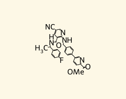 COC(=O)c1ccc(-c2ccc(CNc3ncc(C#N)cc3C(=O)NC(C)c3ccc(F)cc3)cc2)cn1